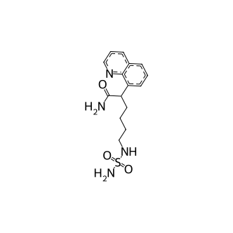 NC(=O)C(CCCCNS(N)(=O)=O)c1cccc2cccnc12